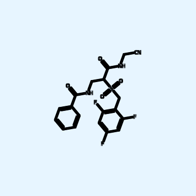 N#CCNC(=O)C(CNC(=O)c1ccccc1)S(=O)(=O)Cc1c(F)cc(F)cc1F